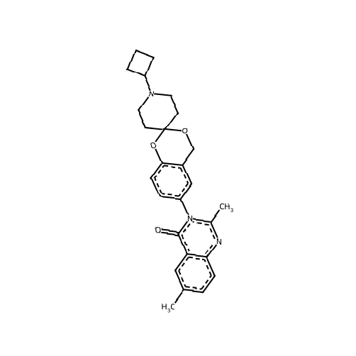 Cc1ccc2nc(C)n(-c3ccc4c(c3)COC3(CCN(C5CCC5)CC3)O4)c(=O)c2c1